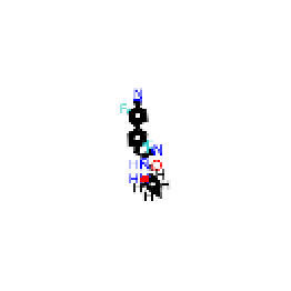 N#Cc1ccc(-c2ccc(C[C@@H](C#N)NC(=O)[C@H]3N[C@H]4C[C@@H]3[C@@H]3C[C@@H]34)c(F)c2)cc1F